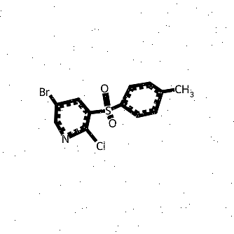 Cc1ccc(S(=O)(=O)c2cc(Br)cnc2Cl)cc1